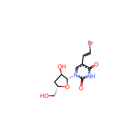 O=c1[nH]c(=O)n([C@@H]2O[C@H](CO)C[C@H]2O)cc1/C=C/Br